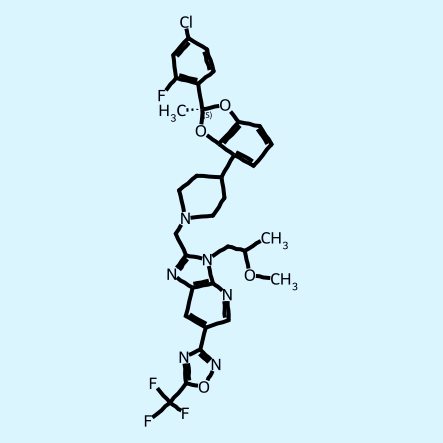 COC(C)Cn1c(CN2CCC(c3cccc4c3O[C@@](C)(c3ccc(Cl)cc3F)O4)CC2)nc2cc(-c3noc(C(F)(F)F)n3)cnc21